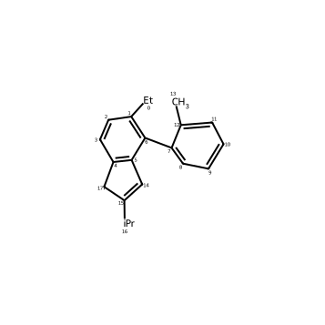 CCc1ccc2c(c1-c1ccccc1C)C=C(C(C)C)[CH]2